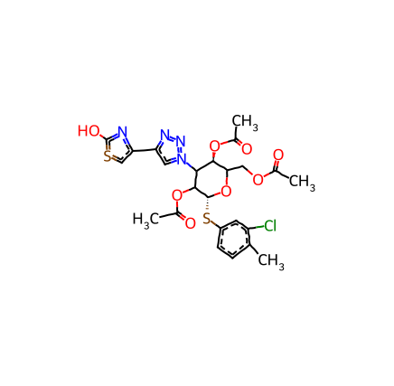 CC(=O)OCC1O[C@H](Sc2ccc(C)c(Cl)c2)C(OC(C)=O)C(n2cc(-c3csc(O)n3)nn2)[C@H]1OC(C)=O